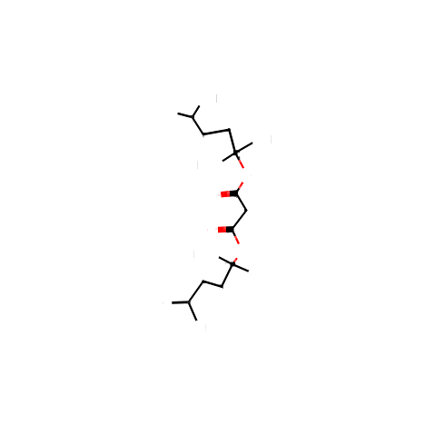 CC(C)CCC(C)(C)OC(=O)CC(=O)OC(C)(C)CCC(C)C